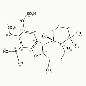 CC1CC[C@@H]2C(C)(C)CCC[C@@]2(C)c2c1oc1c(B(O)O)c(OS(=O)(=O)O)c(OS(=O)(=O)O)cc21